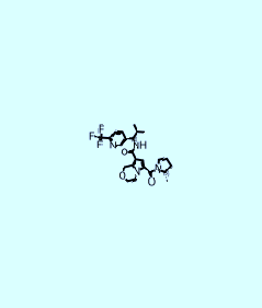 CC(C)[C@@H](NC(=O)c1cc(C(=O)N2CCC[C@@H]2C)n2c1COCC2)c1ccc(C(F)(F)F)nc1